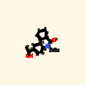 CCCCn1c(=O)c2ccccc2c2cc(C(C)O)ccc21